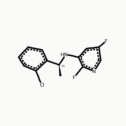 C[C@H](Nc1cc(F)cnc1F)c1ccccc1Cl